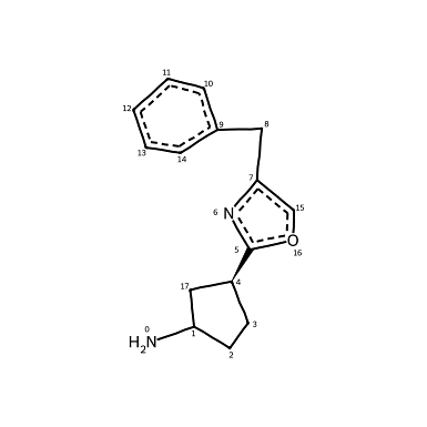 NC1CC[C@H](c2nc(Cc3ccccc3)co2)C1